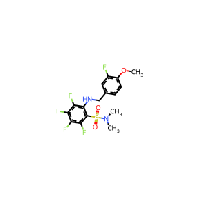 COc1ccc(CNc2c(F)c(F)c(F)c(F)c2S(=O)(=O)N(C)C)cc1F